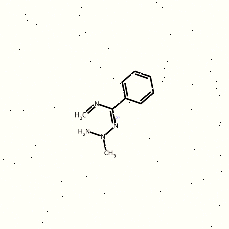 C=N/C(=N\N(C)N)c1ccccc1